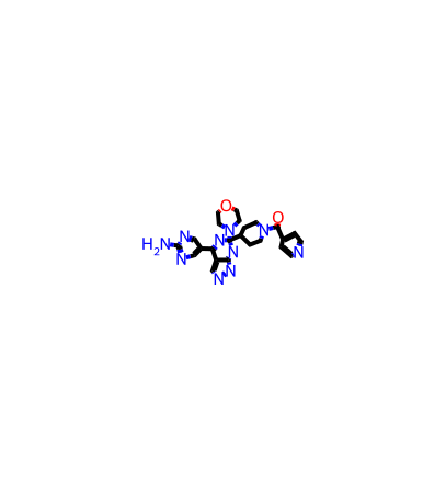 Nc1ncc(C2=NC(C3CCN(C(=O)c4ccncc4)CC3)(N3CCOCC3)N=C3N=NC=C32)cn1